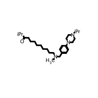 CC(C)C(=O)CCCCCCCCCN(C)Cc1ccc(N2CCN(C(C)C)CC2)cc1